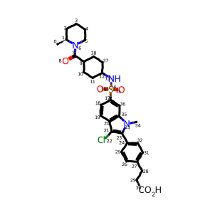 C[C@H]1CCCCN1C(=O)C1CCC(NS(=O)(=O)c2ccc3c(Cl)c(-c4ccc(CCC(=O)O)cc4)n(C)c3c2)CC1